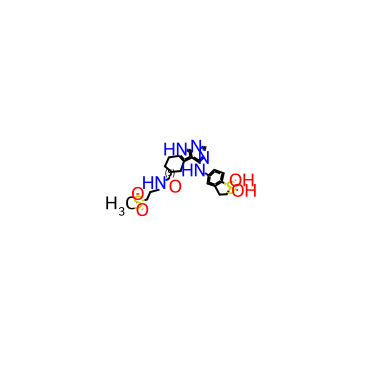 CS(=O)(=O)CCCNC(=O)[C@H]1CCc2[nH]c3ncnc(Nc4ccc5c(c4)CCS5(O)O)c3c2C1